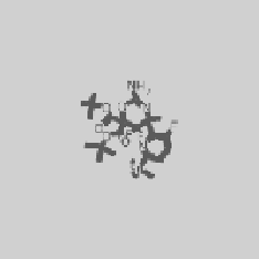 CC(C)(C)OC(=O)C1(C(=O)OC(C)(C)C)OC(N)=NC(C)(c2n[c]([Sn]([CH3])([CH3])[CH3])ccc2F)C1(F)F